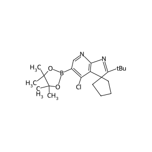 CC(C)(C)C1=Nc2ncc(B3OC(C)(C)C(C)(C)O3)c(Cl)c2C12CCCC2